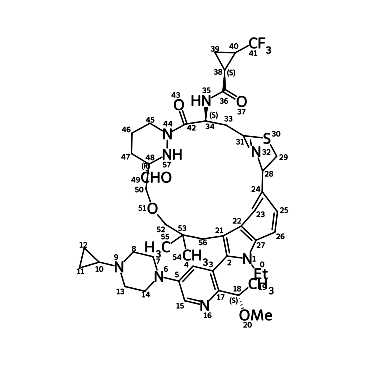 CCn1c(-c2cc(N3CCN(C4CC4)CC3)cnc2[C@H](C)OC)c2c3cc(ccc31)C1CSC(=N1)C[C@H](NC(=O)[C@H]1CC1C(F)(F)F)C(=O)N1CCC[C@](C=O)(COCC(C)(C)C2)N1